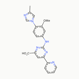 COc1cc(Nc2nc(C(=O)O)cc(-c3ccccn3)n2)ccc1-n1cnc(C)c1